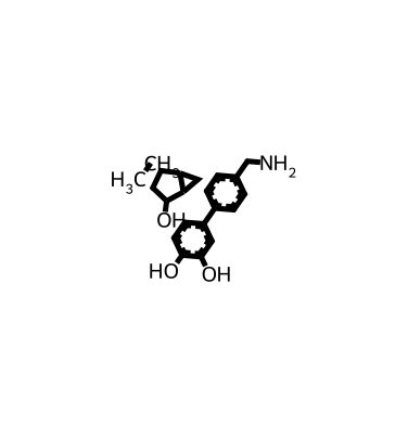 CC.NCc1ccc(-c2ccc(O)c(O)c2)cc1.OC1CCC2CC12